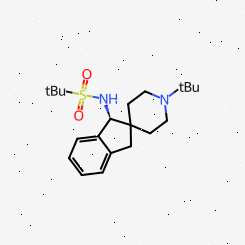 CC(C)(C)N1CCC2(CC1)Cc1ccccc1[C@H]2NS(=O)(=O)C(C)(C)C